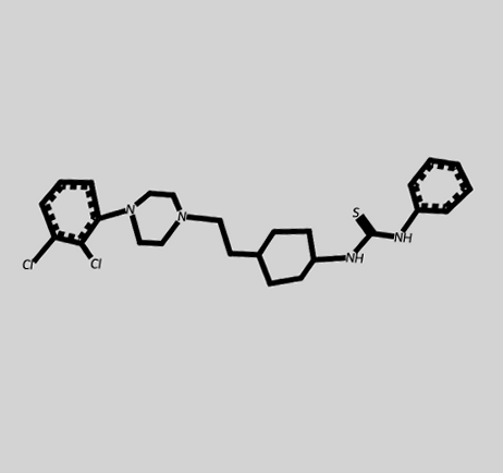 S=C(Nc1ccccc1)NC1CCC(CCN2CCN(c3cccc(Cl)c3Cl)CC2)CC1